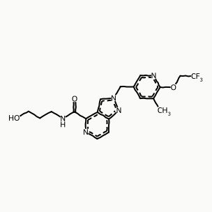 Cc1cc(Cn2cc3c(C(=O)NCCCO)nccc3n2)cnc1OCC(F)(F)F